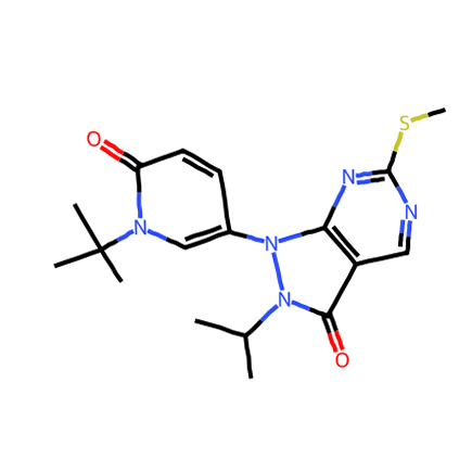 CSc1ncc2c(=O)n(C(C)C)n(-c3ccc(=O)n(C(C)(C)C)c3)c2n1